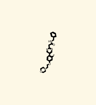 O=C(Cc1ncc(-c2ccc(OCCN3CCOCC3)cc2F)cn1)NCc1ccccc1